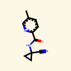 Cc1ccc(C(=O)NC2(C#N)CC2)nc1